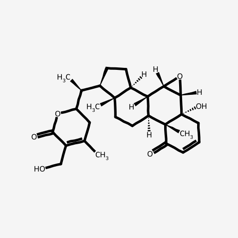 CC1=C(CO)C(=O)OC([C@@H](C)[C@H]2CC[C@H]3[C@@H]4[C@@H]5O[C@@H]5[C@@]5(O)CC=CC(=O)[C@]5(C)[C@H]4CC[C@]23C)C1